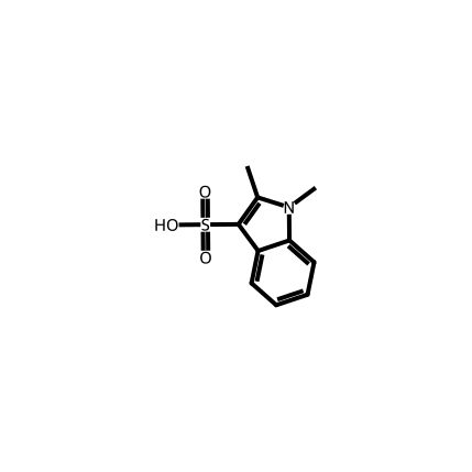 Cc1c(S(=O)(=O)O)c2ccccc2n1C